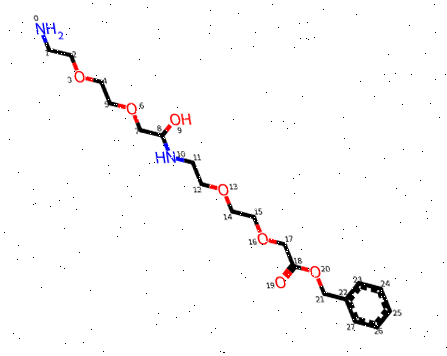 NCCOCCOCC(O)NCCOCCOCC(=O)OCc1ccccc1